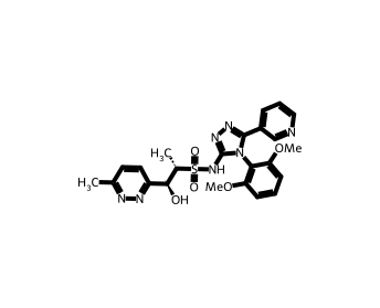 COc1cccc(OC)c1-n1c(NS(=O)(=O)[C@@H](C)[C@@H](O)c2ccc(C)nn2)nnc1-c1cccnc1